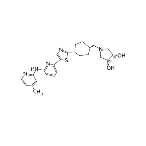 Cc1ccnc(Nc2cccc(-c3cnc([C@H]4CC[C@H](CN5C[C@@H](O)[C@@H](O)C5)CC4)s3)n2)c1